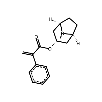 C=C(C(=O)O[C@@H]1C[C@H]2CC[C@@H](C1)N2C)c1ccccc1